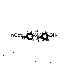 CCCCCCCCOc1ccc(NC(=O)c2ccc(O)cc2)cc1